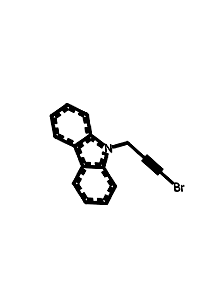 BrC#CCn1c2ccccc2c2ccccc21